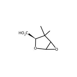 CC1(C)C2OC2O[C@H]1C(=O)O